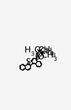 CC1(C)CB(c2cc3sc4c5ccccc5ccc4c3c3ccccc23)OC1(C)C